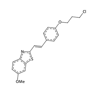 COc1ccc2nc(C=Cc3ccc(OCCCCl)cc3)sc2c1